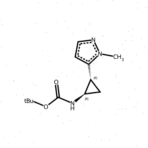 Cn1nccc1[C@@H]1C[C@H]1NC(=O)OC(C)(C)C